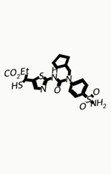 CCOC(=O)C(S)c1cnc(NC(=O)N(CC2CCCC2)c2ccc(S(N)(=O)=O)cc2)s1